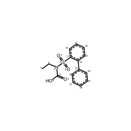 CCN(C(=O)O)S(=O)(=O)c1ccccc1-c1ccccc1